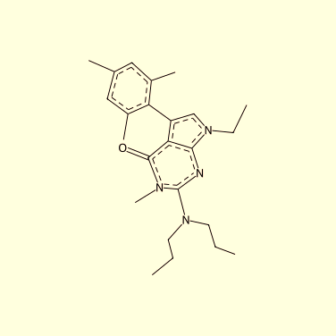 CCCN(CCC)c1nc2c(c(-c3c(C)cc(C)cc3C)cn2CC)c(=O)n1C